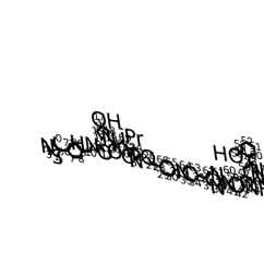 Cc1ncsc1-c1ccc(CNC(=O)[C@@H]2C[C@@H](O)CN2C(=O)C(c2cc(OCC3CCC(N4CCC(c5cnc(N6CCc7[nH]c8nnc(-c9ccccc9O)cc8c7[C@H]6C)nc5)CC4)CC3)no2)C(C)C)cc1